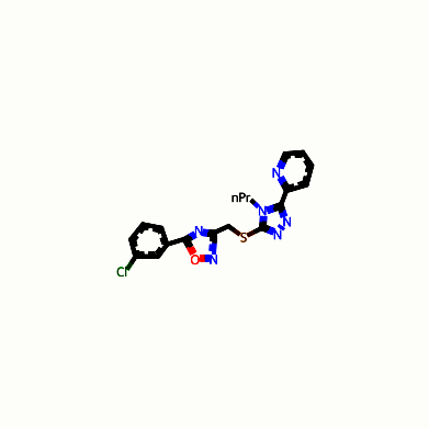 CCCn1c(SCc2noc(-c3cccc(Cl)c3)n2)nnc1-c1ccccn1